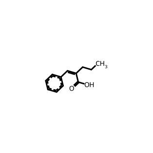 CCCC(=Cc1ccccc1)C(=O)O